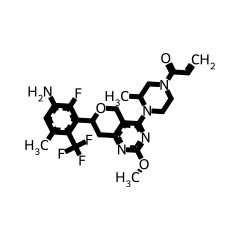 C=CC(=O)N1CCN(c2nc(OC)nc3c2COC(c2c(F)c(N)cc(C)c2C(F)(F)F)C3)C(C)C1